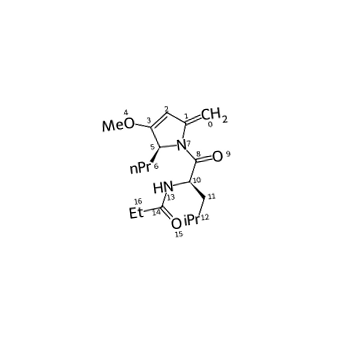 C=C1C=C(OC)[C@H](CCC)N1C(=O)[C@@H](CC(C)C)NC(=O)CC